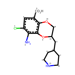 Nc1c(Cl)cc(C(=O)O)c2c1OC(CC1CCNCC1)CO2